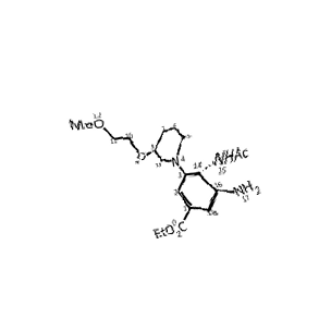 CCOC(=O)C1=C[C@@H](N2CCC[C@H](OCCOC)C2)[C@H](NC(C)=O)[C@@H](N)C1